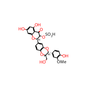 COc1cc([C@H]2Oc3cc([C@H]4Oc5cc(O)cc(O)c5C(=O)[C@@H]4OS(=O)(=O)O)ccc3O[C@@H]2CO)ccc1O